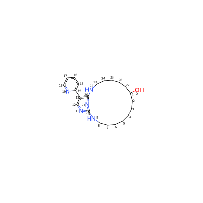 OC1CCCCCCCNc2ncc(-c3ccccn3)c(n2)NCCCCC1